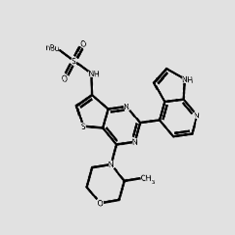 CCCCS(=O)(=O)Nc1csc2c(N3CCOCC3C)nc(-c3ccnc4[nH]ccc34)nc12